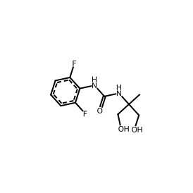 CC(CO)(CO)NC(=O)Nc1c(F)cccc1F